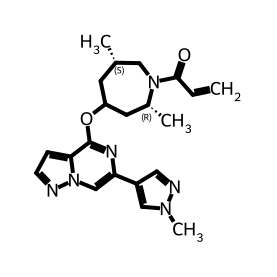 C=CC(=O)N1C[C@@H](C)CC(Oc2nc(-c3cnn(C)c3)cn3nccc23)C[C@H]1C